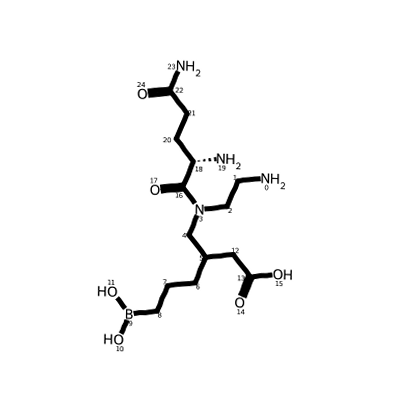 NCCN(CC(CCCB(O)O)CC(=O)O)C(=O)[C@@H](N)CCC(N)=O